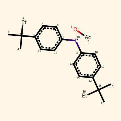 CC(=O)[O-].CCC(C)(C)c1ccc([I+]c2ccc(C(C)(C)CC)cc2)cc1